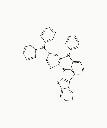 c1ccc(N(c2ccccc2)c2ccc3c(c2)N(c2ccccc2)c2cccc4c2B3c2sc3ccccc3c2-4)cc1